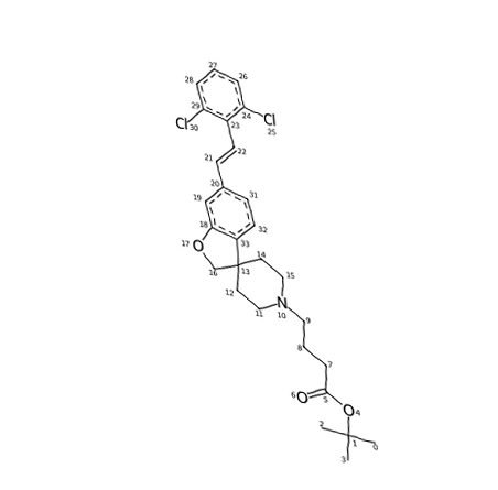 CC(C)(C)OC(=O)CCCN1CCC2(CC1)COc1cc(/C=C/c3c(Cl)cccc3Cl)ccc12